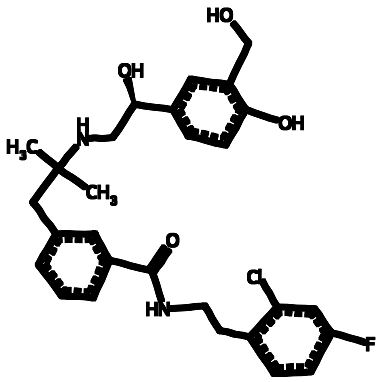 CC(C)(Cc1cccc(C(=O)NCCc2ccc(F)cc2Cl)c1)NC[C@@H](O)c1ccc(O)c(CO)c1